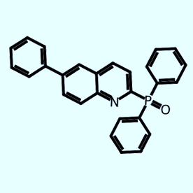 O=P(c1ccccc1)(c1ccccc1)c1ccc2cc(-c3ccccc3)ccc2n1